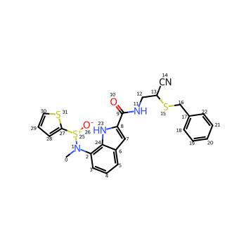 CN(c1cccc2cc(C(=O)NCC(C#N)SCc3ccccc3)[nH]c12)[S+]([O-])c1cccs1